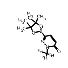 [2H]C([2H])([2H])n1nc(B2OC(C)(C)C(C)(C)O2)ccc1=O